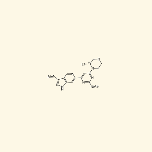 CC[C@@H]1COCCN1c1cc(-c2ccc3c(NC)n[nH]c3c2)nc(NC)n1